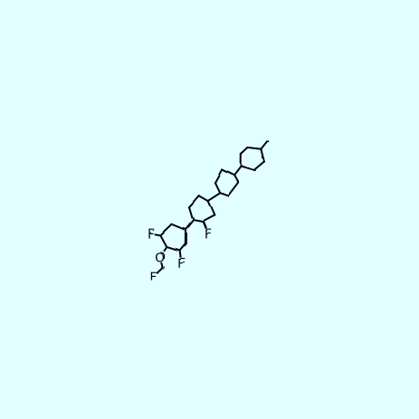 CC1CCC(C2CCC(C3CCC(C4CC(F)C(OCF)C(F)C4)C(F)C3)CC2)CC1